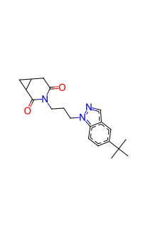 CC(C)(C)c1ccc2c(cnn2CCCN2C(=O)CC3CC3C2=O)c1